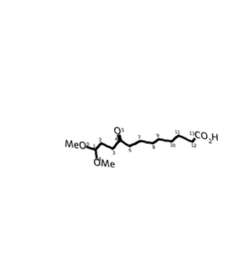 COC(CCC(=O)CCCCCCCC(=O)O)OC